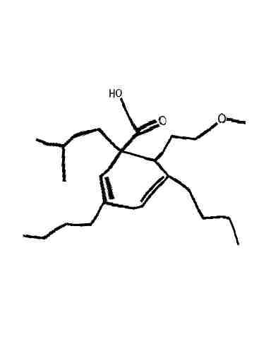 CCCCC1=CC(CC(C)C)(C(=O)O)C(CCOC)C(CCCC)=C1